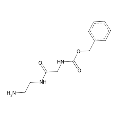 NCCNC(=O)CNC(=O)OCc1ccccc1